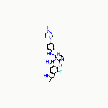 Cc1cc2c(F)c(Oc3ncnc(Nc4ccc(N5CCNCC5)cc4)c3N)ccc2[nH]1